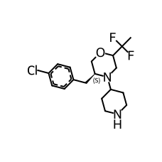 CC(F)(F)C1CN(C2CCNCC2)[C@@H](Cc2ccc(Cl)cc2)CO1